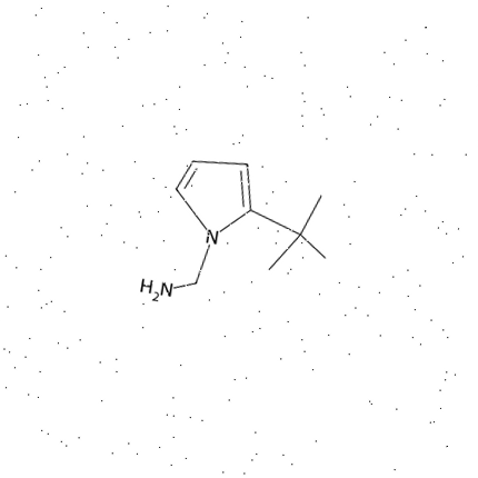 CC(C)(C)c1cccn1CN